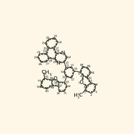 Cc1cccc2c1oc1c(-c3cc(-c4cnc5c6ccccc6c6ccccc6c5n4)cc(-c4cccc5c4oc4c(C)cccc45)c3)cccc12